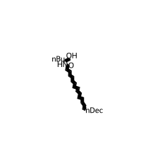 CCCCCCCCCCCCCCCCCCCCCCCCCC(=O)NC(CO)CCCC